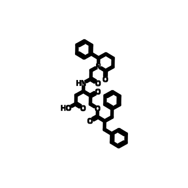 O=C(O)CC(NC(=O)CN1C(=O)CCCC1c1ccccc1)C(=O)COC(=O)C(Cc1ccccc1)Cc1ccccc1